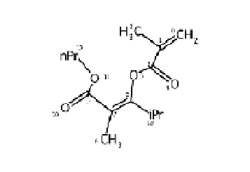 C=C(C)C(=O)OC(=C(C)C(=O)OCCC)C(C)C